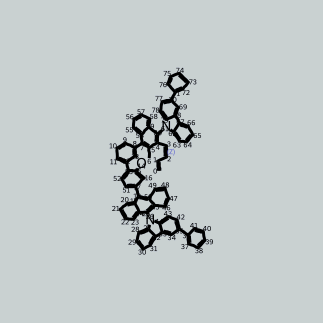 C=C/C=C\c1c(C)c(-c2cccc3c2oc2cc(-c4c5ccccc5c(-n5c6ccccc6c6cc(-c7ccccc7)ccc65)c5ccccc45)ccc23)c2ccccc2c1-n1c2ccccc2c2cc(-c3ccccc3)ccc21